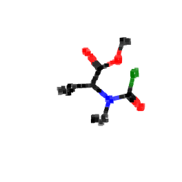 CCOC(=O)C(C)N(C)C(=O)Cl